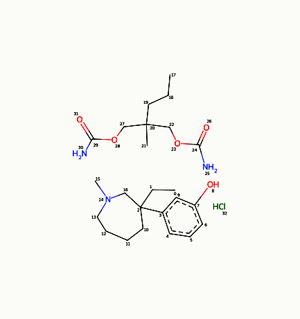 CCC1(c2cccc(O)c2)CCCCN(C)C1.CCCC(C)(COC(N)=O)COC(N)=O.Cl